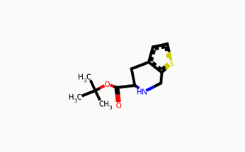 CC(C)(C)OC(=O)C1Cc2ccsc2CN1